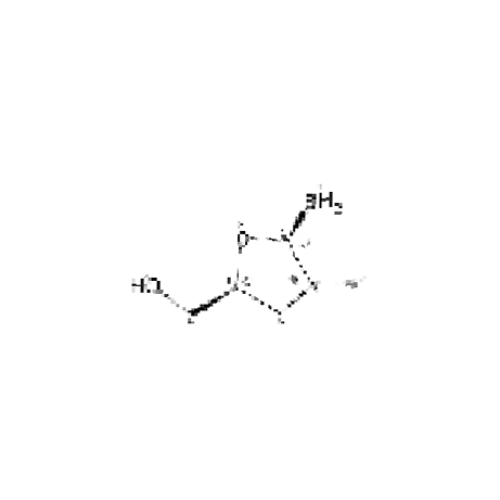 B[C@@H]1O[C@H](CO)C[C@H]1C